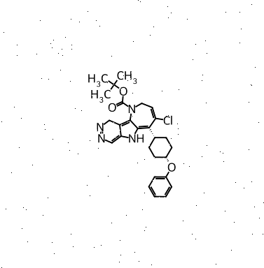 CC(C)(C)OC(=O)N1CC=C(Cl)C([C@H]2CC[C@@H](Oc3ccccc3)CC2)=c2[nH]c3c(c21)CN=NC=3